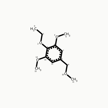 CCOc1c(OC)cc(COC)cc1OC